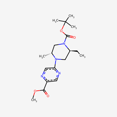 CC[C@H]1CN(c2cnc(C(=O)OC)cn2)[C@H](C)CN1C(=O)OC(C)(C)C